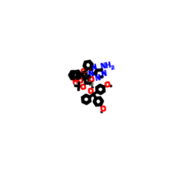 COc1ccc(C(OC[C@H]2O[C@](n3cnc4c(N)ncnc43)([SiH](c3ccccc3)c3ccccc3)[C@@](O)(C(=O)c3ccccc3)[C@@H]2OC(C)(C)C)(c2ccccc2)c2ccc(OC)cc2)cc1